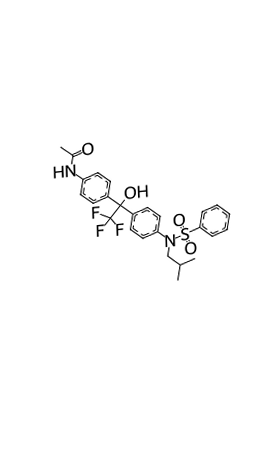 CC(=O)Nc1ccc(C(O)(c2ccc(N(CC(C)C)S(=O)(=O)c3ccccc3)cc2)C(F)(F)F)cc1